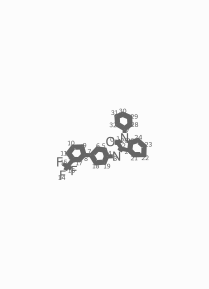 O=C1/C(=N\c2ccc(-c3cccc(C(F)(F)F)c3)cc2)c2ccccc2N1c1ccccc1